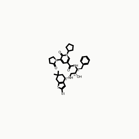 CCc1cc2c(s1)CC(C)(C)C[C@@H]2NC[C@@H](O)[C@H](Cc1ccccc1)NC(=O)c1cc(N2CCCC2=O)c(=O)n(C2CCCC2)c1